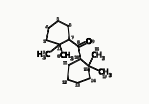 CC1(C)CCCCC1C(=O)C1CCCCC1(C)C